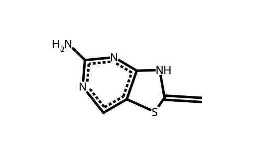 C=C1Nc2nc(N)ncc2S1